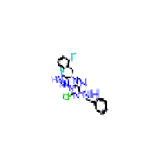 Fc1cccc(F)c1CC(c1c[nH]nn1)n1cnc2c(NCc3ccccc3)nc(Cl)nc21